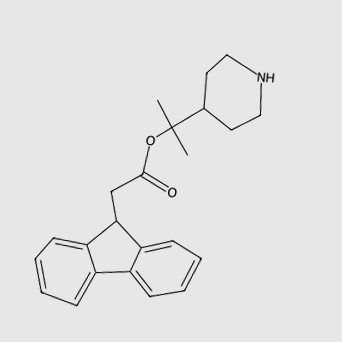 CC(C)(OC(=O)CC1c2ccccc2-c2ccccc21)C1CCNCC1